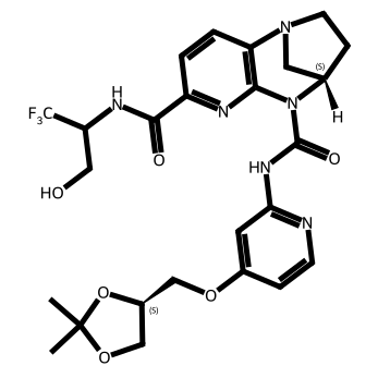 CC1(C)OC[C@H](COc2ccnc(NC(=O)N3c4nc(C(=O)NC(CO)C(F)(F)F)ccc4N4CC[C@H]3C4)c2)O1